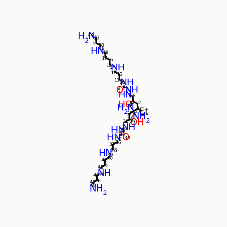 CCC(CC(O)CNNC(=O)NCCCNCCCCNCCCN)C(N)(N)CC(O)CNNC(=O)NCCCNCCCCNCCCN